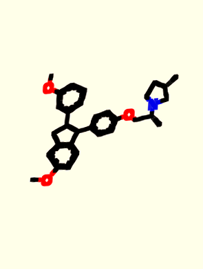 COc1cccc(C2Cc3cc(OC)ccc3C2c2ccc(OC[C@H](C)N3CC[C@@H](C)C3)cc2)c1